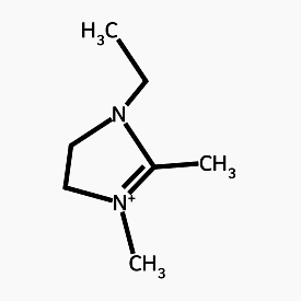 CCN1CC[N+](C)=C1C